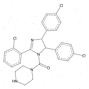 O=C(N1CCNCC1)N1C(c2ccccc2Cl)=NC(c2ccc(Cl)cc2)C1c1ccc(Cl)cc1